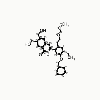 COCOCCc1cc(OC)c(OCc2ccccc2)cc1-c1cc2cc(CO)c(CO)cc2c(=O)[nH]1